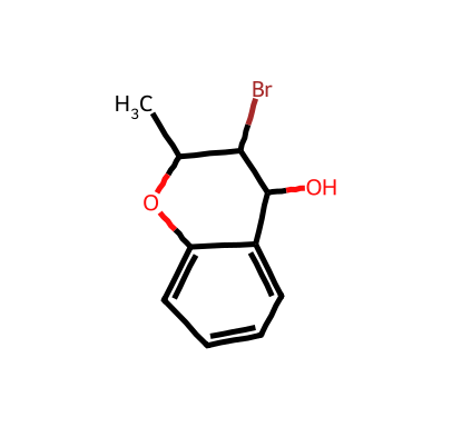 CC1Oc2ccccc2C(O)C1Br